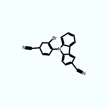 N#Cc1ccc2c(c1)c1ccccc1n2C1=C(Br)CC(C#N)C=C1